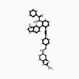 Nc1nc2c(s1)CC(NCc1ccc(C#Cc3cccc(C(O)C(=O)c4ccccc4)c3-c3ccc4cc[nH]c4c3)cc1)CC2